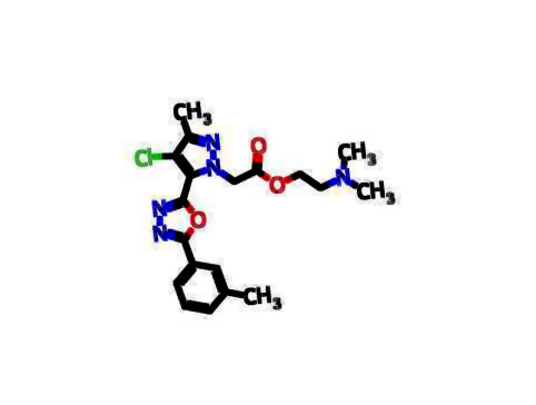 Cc1cccc(-c2nnc(-c3c(Cl)c(C)nn3CC(=O)OCCN(C)C)o2)c1